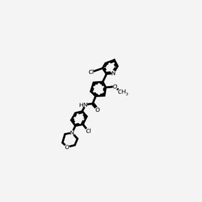 COc1cc(C(=O)Nc2ccc(N3CCOCC3)c(Cl)c2)ccc1-c1ncccc1Cl